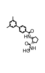 Cc1cc(C)cc(-c2ccc(C(=O)N[C@@H]3CCC[C@@H]3C(=O)NO)cc2)c1